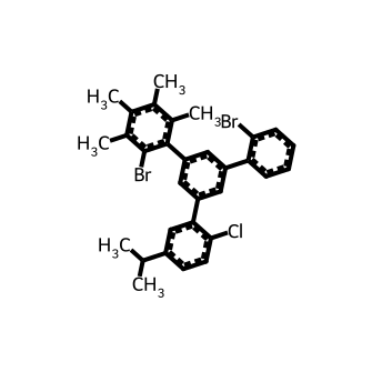 Cc1c(C)c(C)c(-c2cc(-c3cc(C(C)C)ccc3Cl)cc(-c3ccccc3Br)c2)c(Br)c1C